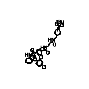 CC(C)(C)OC(=O)N1CCC(CNC(=O)CCNC(=O)c2ccc(S(=O)(=O)Nc3ccccc3Oc3ccc(Cl)cc3Cl)cc2)CC1